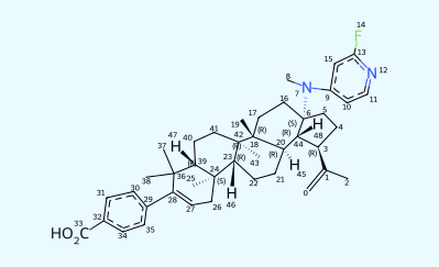 C=C(C)[C@@H]1CC[C@]2(N(C)c3ccnc(F)c3)CC[C@]3(C)[C@H](CC[C@@H]4[C@@]5(C)CC=C(c6ccc(C(=O)O)cc6)C(C)(C)[C@@H]5CC[C@]43C)[C@@H]12